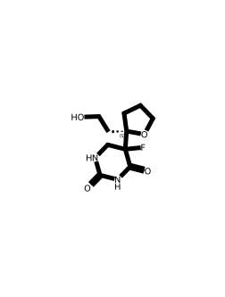 O=C1NCC(F)([C@@]2(CCO)CCCO2)C(=O)N1